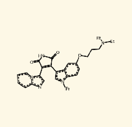 CCN(CC)CCCOc1ccc2c(c1)c(C1=C(c3cnc4ccccn34)C(=O)NC1=O)cn2C(C)C